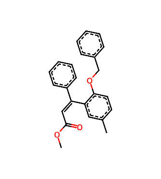 COC(=O)C=C(c1ccccc1)c1cc(C)ccc1OCc1ccccc1